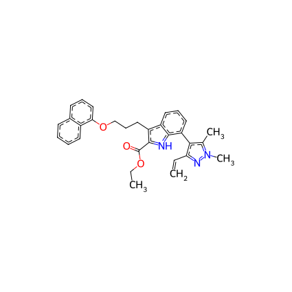 C=Cc1nn(C)c(C)c1-c1cccc2c(CCCOc3cccc4ccccc34)c(C(=O)OCC)[nH]c12